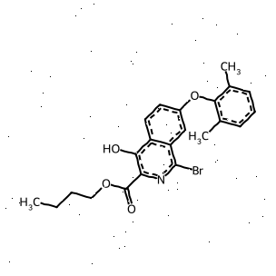 CCCCOC(=O)c1nc(Br)c2cc(Oc3c(C)cccc3C)ccc2c1O